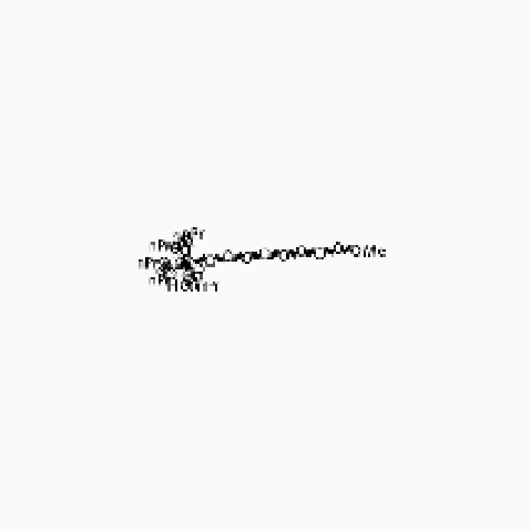 CCCOP(=O)(O)OCC(COP(=O)(OCCC)OCCC)(COP(=O)(OCCC)OCCC)NC(=O)COCCOCCOCCOCCOCCOCCOCCOCCOC